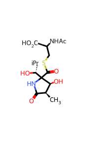 CC(=O)NC(CSC(=O)C1([C@H](O)C(C)C)NC(=O)[C@H](C)[C@@H]1O)C(=O)O